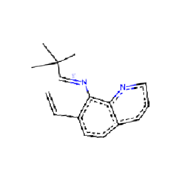 C=Cc1ccc2cccnc2c1/N=C/C(C)(C)C